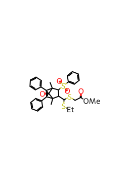 CCSC(SCC(=O)OC)C1C(S(=O)(=O)c2ccccc2)C2(C)C(=O)C1(C)C(c1ccccc1)=C2c1ccccc1